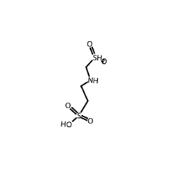 O=[SH](=O)CNCCS(=O)(=O)O